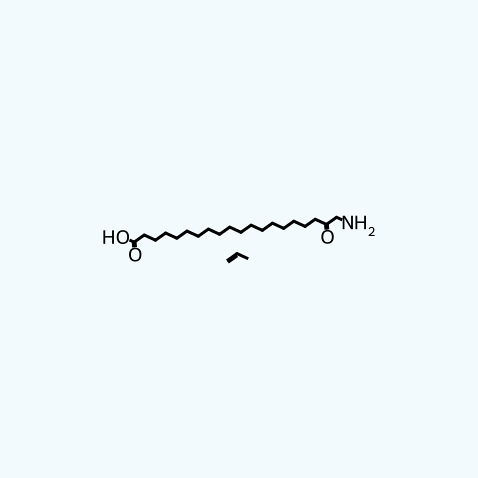 C=CC.NCC(=O)CCCCCCCCCCCCCCCCCC(=O)O